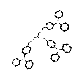 c1ccc(P(c2ccccc2)c2ccc(COCC(COCc3ccc(P(c4ccccc4)c4ccccc4)cc3)OCc3ccc(P(c4ccccc4)c4ccccc4)cc3)cc2)cc1